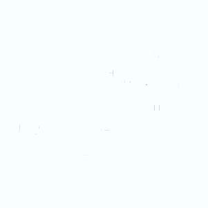 [2H]C([2H])([2H])C(CO[Si](C)(C)C(C)(C)C)(CC(=O)O)C([2H])([2H])[2H]